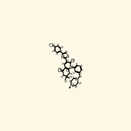 CN1CCN(Cc2cccc(-n3c4c(cc(-c5nc(-c6ccc(Cl)cc6)cs5)c3=O)C(=O)CC(C)(C)C4)c2)CC1